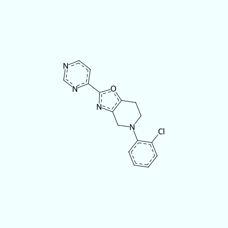 Clc1ccccc1N1CCc2oc(-c3ccncn3)nc2C1